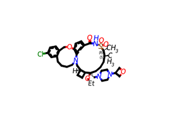 CCO[C@]1(CN2CCN(C3COC3)CC2)CCC[C@H](C)[C@@H](C)S(=O)(=O)NC(=O)c2ccc3c(c2)N(CCCCc2cc(Cl)ccc2CO3)C[C@@H]2CCC21